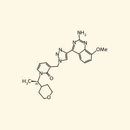 COc1cccc2c(-c3cn(Cc4cccn([C@H](C)C5CCOCC5)c4=O)nn3)nc(N)nc12